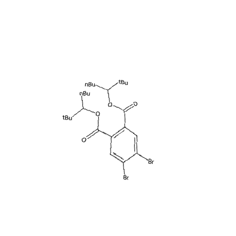 CCCCC(OC(=O)c1cc(Br)c(Br)cc1C(=O)OC(CCCC)C(C)(C)C)C(C)(C)C